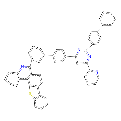 c1ccc(-c2ccc(-c3nc(-c4ccc(-c5cccc(-c6nc7ccccc7c7c6ccc6c8ccccc8sc67)c5)cc4)cc(-c4ccccn4)n3)cc2)cc1